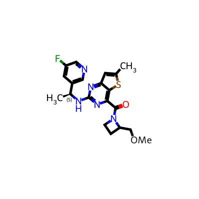 COCC1CCN1C(=O)c1nc(N[C@@H](C)c2cncc(F)c2)nc2cc(C)sc12